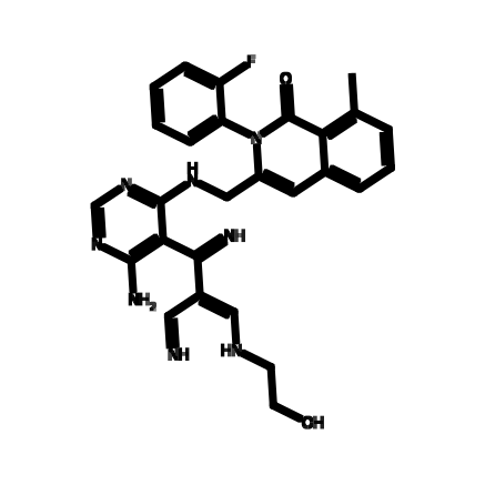 Cc1cccc2cc(CNc3ncnc(N)c3C(=N)/C(C=N)=C/NCCO)n(-c3ccccc3F)c(=O)c12